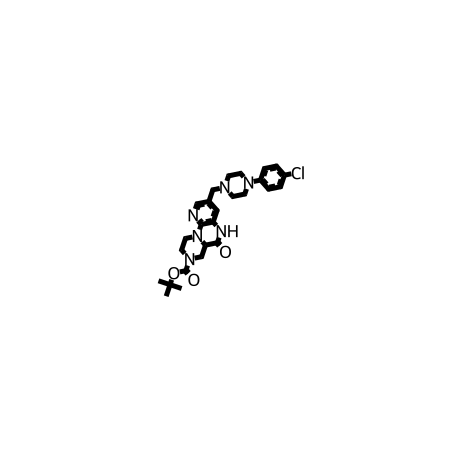 CC(C)(C)OC(=O)N1CCN2c3ncc(CN4CCN(c5ccc(Cl)cc5)CC4)cc3NC(=O)C2C1